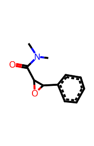 CN(C)C(=O)C1OC1c1ccccc1